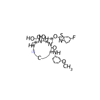 COc1cccc(N[C@H]2CCCCC/C=C\[C@@H]3C[C@@]3(C(=O)O)NC(=O)[C@@H]3C[C@@H](Oc4nc5ccc(F)cc5s4)CN3C2=O)c1